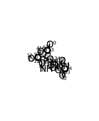 COc1ccc(C(c2ccc(OC)cc2OC=N)[C@H](C)OC(=O)[C@H](C)n2c(=O)oc3c(OC)ccnc3c2=O)c(OC)c1